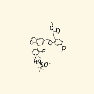 CCOC(=O)Cc1ccc(OC)cc1OCc1cc(-c2ccnc(CN[S@+]([O-])C(C)(C)C)c2F)c2occc2c1